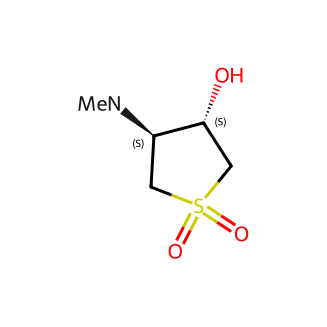 CN[C@@H]1CS(=O)(=O)C[C@H]1O